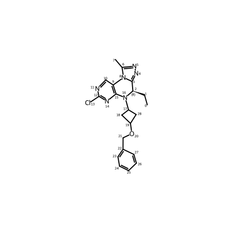 CC[C@@H]1c2nnc(C)n2-c2cnc(Cl)nc2N1C1CC(OCc2ccccc2)C1